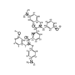 COc1cccc(CN(Cc2ccc(N(C)C)cc2)C(=O)c2cccc(C(=O)N(Cc3ccc(N(C)C)cc3)Cc3cccc(OC)c3)n2)c1